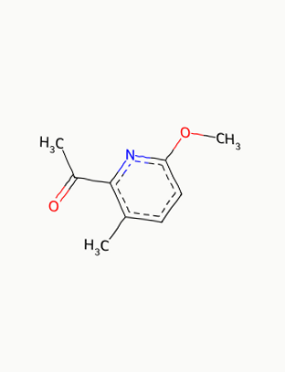 COc1ccc(C)c(C(C)=O)n1